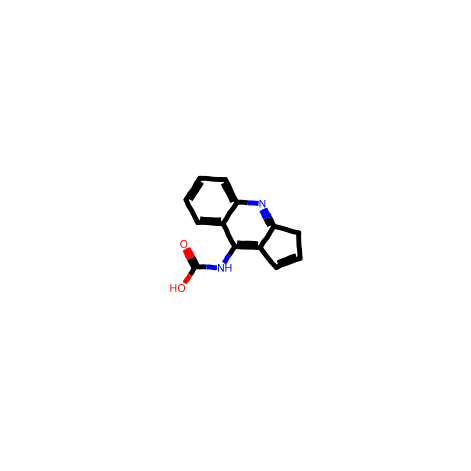 O=C(O)Nc1c2c(nc3ccccc13)CC=C2